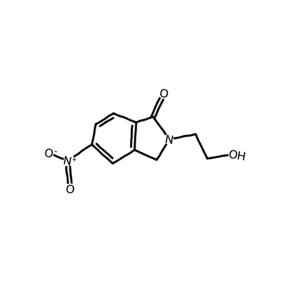 O=C1c2ccc([N+](=O)[O-])cc2CN1CCO